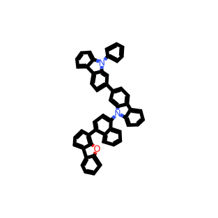 c1ccc(-n2c3ccccc3c3ccc(-c4ccc5c6ccccc6n(-c6ccc(-c7cccc8c7oc7ccccc78)c7ccccc67)c5c4)cc32)cc1